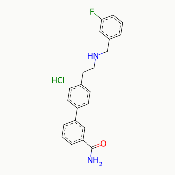 Cl.NC(=O)c1cccc(-c2ccc(CCNCc3cccc(F)c3)cc2)c1